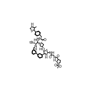 CC1NCSC1c1ccc(CNC(=O)[C@@H]2C[C@@H](O)CN2C(O)[C@@H](NCc2cccc(-c3cccc(C4CSC(NC(=O)CNC(=O)C5CCN(S(C)(=O)=O)C5)N4)c3)c2)C(C)(C)C)cc1